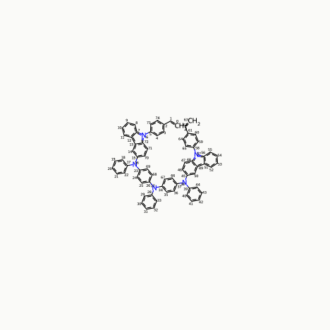 C=Cc1ccc(-n2c3ccccc3c3cc(N(c4ccccc4)c4ccc(N(c5ccccc5)c5ccc(N(c6ccccc6)c6ccc7c(c6)c6ccccc6n7-c6ccc(C=C)cc6)cc5)cc4)ccc32)cc1